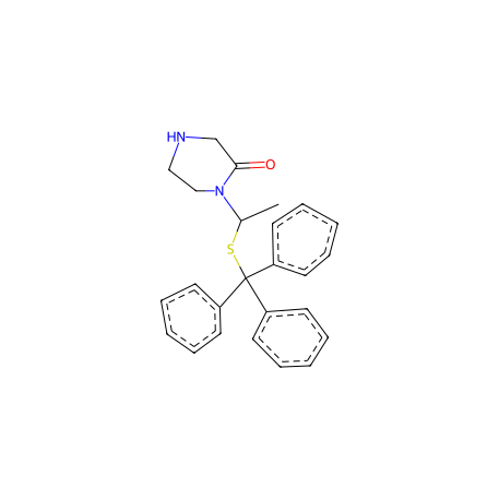 CC(SC(c1ccccc1)(c1ccccc1)c1ccccc1)N1CCNCC1=O